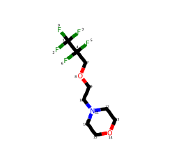 FC(F)(F)C(F)(F)COCCN1CCOCC1